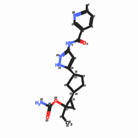 Cc1ccc(C(=O)Nc2cc([C@H]3CC[C@@H](C4CC4(CC(F)(F)F)OC(N)=O)C3)[nH]n2)cn1